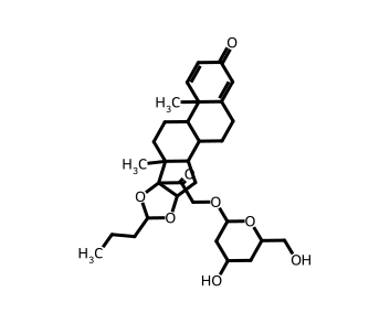 CCCC1OC2CC3C4CCC5=CC(=O)C=CC5(C)C4CCC3(C)C2(C(=O)COC2CC(O)CC(CO)O2)O1